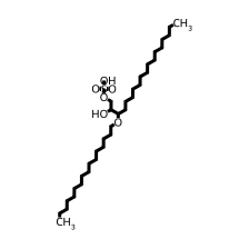 CCCCCCCCCCCCCCCCOC(CCCCCCCCCCCCCCC)C(O)COS(=O)(=O)O